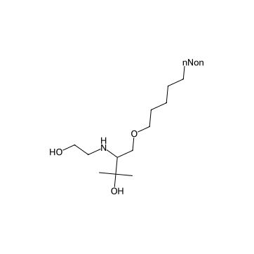 CCCCCCCCCCCCCCOCC(NCCO)C(C)(C)O